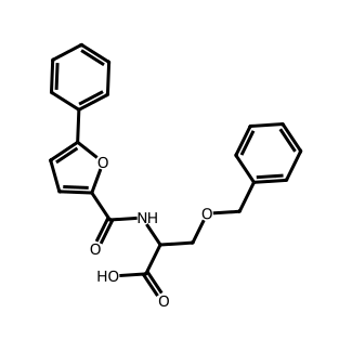 O=C(NC(COCc1ccccc1)C(=O)O)c1ccc(-c2ccccc2)o1